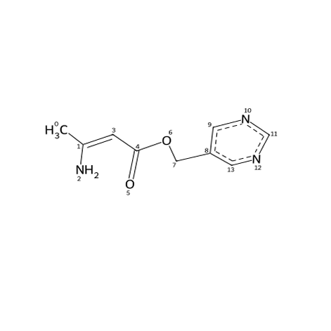 C/C(N)=C/C(=O)OCc1cncnc1